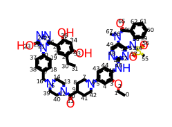 CCOc1cc(N2CCC(C(=O)N3CCN(Cc4ccc(-n5c(O)nnc5-c5cc(CC)c(O)cc5O)cc4)CC3)CC2)ccc1Nc1ncc2c(n1)N(S(C)(=O)=O)c1ccccc1C(=O)N2C